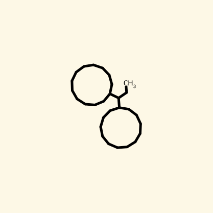 CCC(C1CCCCCCCCCCCC1)C1CCCCCCCCCCCC1